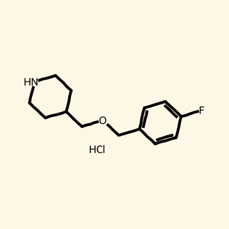 Cl.Fc1ccc(COCC2CCNCC2)cc1